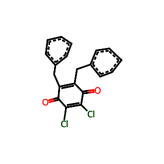 O=C1C(Cl)=C(Cl)C(=O)C(Cc2ccccc2)=C1Cc1ccccc1